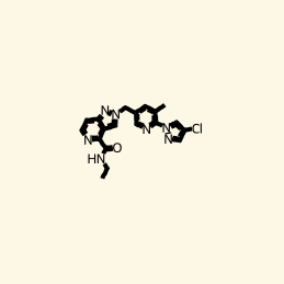 CCNC(=O)c1nccc2nn(Cc3cnc(-n4cc(Cl)cn4)c(C)c3)cc12